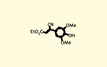 CCOC(=O)C=C(C#N)c1cc(OC)c(O)c(OC)c1